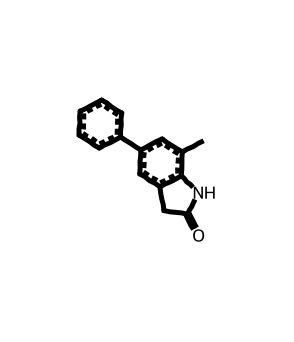 Cc1cc(-c2ccccc2)cc2c1NC(=O)C2